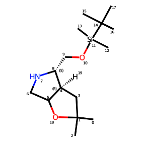 CC1(C)C[C@H]2C(CN[C@@H]2CO[Si](C)(C)C(C)(C)C)O1